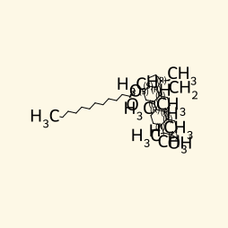 C=C(C)[C@@H]1CC[C@@]2(C)[C@H]1[C@H]1CC[C@@H]3[C@@]4(C)CC[C@H](O)C(C)(C)[C@@H]4CC[C@@]3(C)[C@]1(C)C[C@@H]2OC(=O)CCCCCCCCCCC